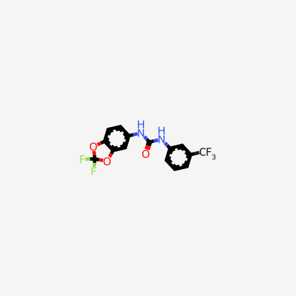 O=C(Nc1cccc(C(F)(F)F)c1)Nc1ccc2c(c1)OC(F)(F)O2